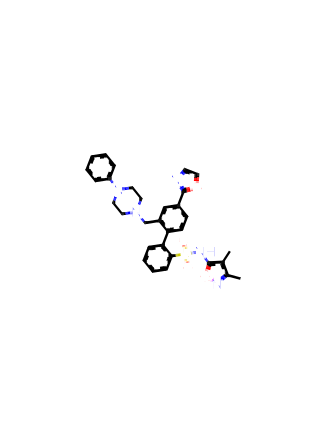 Cc1noc(NS(=O)(=O)c2ccccc2-c2ccc(-c3ncco3)cc2CN2CCN(c3ccccc3)CC2)c1C